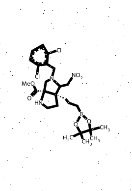 COC(=O)[C@]12CN(Cc3c(Cl)cccc3Cl)C(C[N+](=O)[O-])[C@@]1(CCCB1OC(C)(C)C(C)(C)O1)CCN2